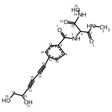 CNC(=O)C(NC(=O)c1ccc(C#CC#CC(O)CO)cc1)C(=O)NO